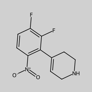 O=[N+]([O-])c1ccc(F)c(F)c1C1=CCNCC1